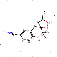 CC1CC2(Cc3cc(C#N)ccc3OC2(C)C)OO1